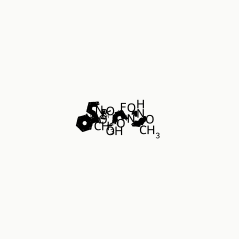 Cc1cn([C@@H]2O[C@H](CO)C(O[P@]3O[C@@](C)(c4ccccc4)[C@H]4CCCN43)[C@@H]2F)c(=O)[nH]c1=O